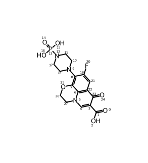 O=C(O)c1cn2c3c(c(N4CCN(P(=O)(O)O)CC4)c(F)cc3c1=O)OCC2